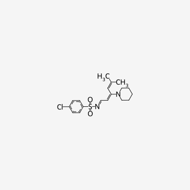 CC(C)=C/C(=C\C=N\S(=O)(=O)c1ccc(Cl)cc1)N1CCCCC1